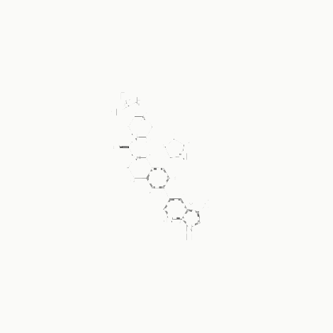 Cc1c[nH]c2ncc(-c3cc4c(c([C@@H]5CCCN5)c3)CN(C(=O)N3CCO[C@@H](C(F)(F)F)C3)CC4)cc12